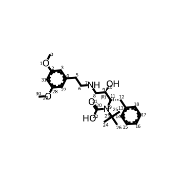 COc1cc(CCNC[C@@H](O)[C@H](Cc2ccccc2)N(C(=O)O)C(C)(C)C)cc(OC)c1